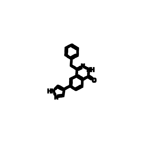 O=c1[nH]nc(Cc2ccccc2)c2cc(-c3cn[nH]c3)ccc12